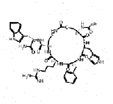 CCCC(=O)N[C@H]1CCC(=O)NCC[C@@H](C(=O)N[C@@H](Cc2c[nH]c3ccccc23)C(N)=O)NC(=O)[C@H](CCCNC(=N)N)NC(=O)[C@@H](Cc2ccccc2)NC(=O)C(Cc2c[nH]cn2)NC1=O